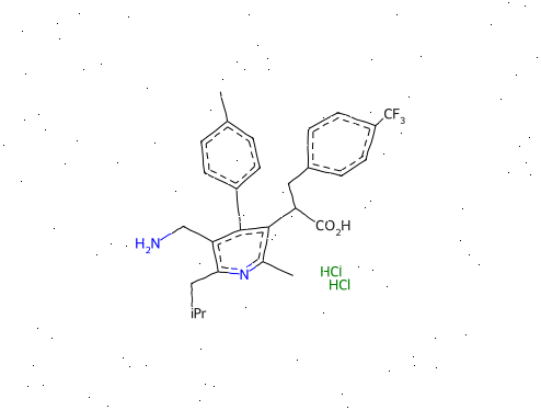 Cc1ccc(-c2c(CN)c(CC(C)C)nc(C)c2C(Cc2ccc(C(F)(F)F)cc2)C(=O)O)cc1.Cl.Cl